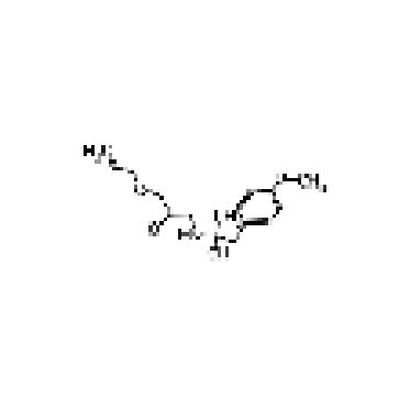 C=CCOCC(O)CNC(C)(C)Cc1ccc(OC)cc1